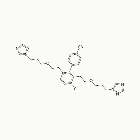 N#Cc1ccc(-c2c(CCOCCCn3cncn3)ccc(Cl)c2CCOCCCn2cncn2)cc1